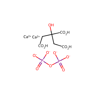 O=C(O)CC(O)(CC(=O)O)C(=O)O.O=P([O-])([O-])OP(=O)([O-])[O-].[Ca+2].[Ca+2]